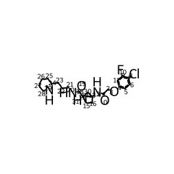 O=C(COc1ccc(Cl)c(F)c1)NC12CC(C1)[C@@H](C(=O)NCCCC1CCCCN1)C2